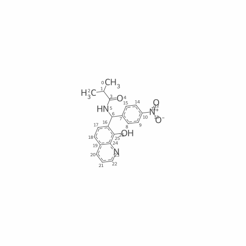 CC(C)C(=O)NC(c1ccc([N+](=O)[O-])cc1)c1ccc2cccnc2c1O